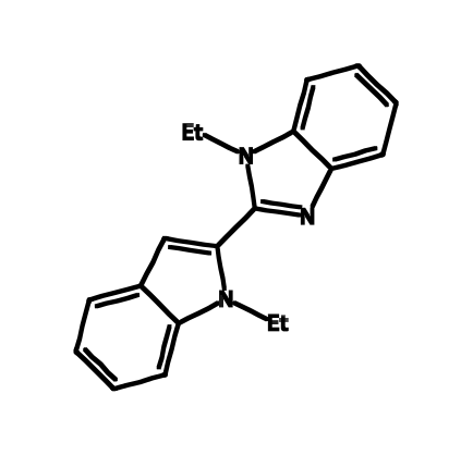 CCn1c(-c2nc3ccccc3n2CC)cc2ccccc21